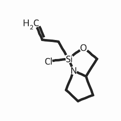 C=CC[Si]1(Cl)OCC2CCCN21